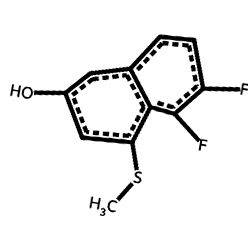 CSc1cc(O)cc2ccc(F)c(F)c12